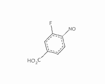 O=Nc1ccc(C(=O)O)cc1F